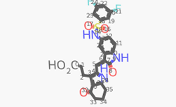 O=C(O)CCc1c(C=C2C(=O)Nc3ccc(NS(=O)(=O)c4cc(F)cc(F)c4)cc32)[nH]c2c1C(=O)CCC2